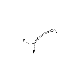 C=C=C=C(F)F